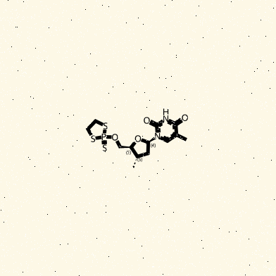 Cc1cn([C@H]2C[C@H](C)[C@@H](COP3(=S)SCCS3)O2)c(=O)[nH]c1=O